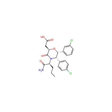 CCC[C@@H](C(N)=O)N1C(=O)[C@@H](CC(=O)O)O[C@H](c2cccc(Cl)c2)[C@@H]1c1ccc(Cl)cc1